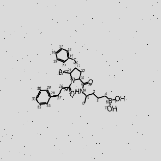 CC(CCCB(O)O)NC(=O)C1C[C@@H](Sc2ccccc2)C(Br)N1C(=O)CCc1ccccc1